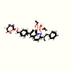 CCOP(=O)(OCC)c1cc(-c2ccc(COC3CCCCO3)cc2)cc2ccc(C(C)Cc3ccccc3)nc12